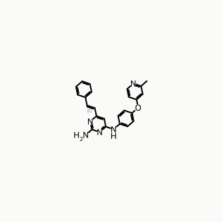 Cc1cc(Oc2ccc(Nc3cc(/C=C/c4ccccc4)nc(N)n3)cc2)ccn1